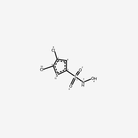 O=S(=O)(NO)c1cc(Cl)c(Cl)s1